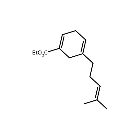 CCOC(=O)C1=CCC=C(CCC=C(C)C)C1